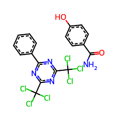 ClC(Cl)(Cl)c1nc(-c2ccccc2)nc(C(Cl)(Cl)Cl)n1.NC(=O)c1ccc(O)cc1